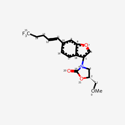 COC[C@H]1CN(c2coc3cc(/C=C/CCC(F)(F)F)ccc23)C(=O)O1